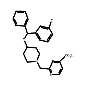 CCOC(=O)c1ccnc(CN2CCC(OC(c3ccccc3)c3cccc(Cl)c3)CC2)c1